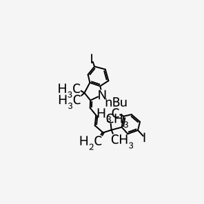 C=C(/C=C/C=C1\N(CCCC)c2ccc(I)cc2C1(C)C)C(C)(C)c1cc(I)ccc1C